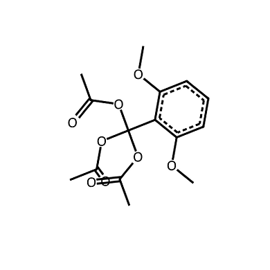 COc1cccc(OC)c1C(OC(C)=O)(OC(C)=O)OC(C)=O